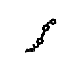 CC(=O)NC(C)Cc1ccc(C#Cc2ccc(CN3CCCC3)cc2)cc1